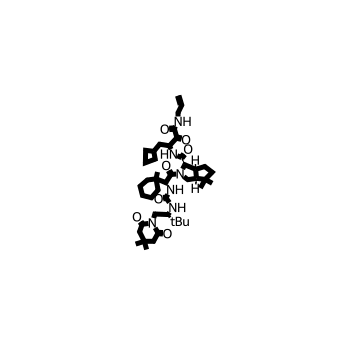 C=CCNC(=O)C(=O)C(CC1CCC1)NC(=O)[C@@H]1[C@H]2CCC(C)(C)[C@H]2CN1C(=O)[C@@H](NC(=O)N[C@H](CN1C(=O)CC(C)(C)CC1=O)C(C)(C)C)C1(C)CCCCC1